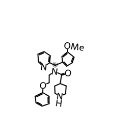 COc1cccc([C@@H](c2ccccn2)N(CCOc2ccccc2)C(=O)C2CCNCC2)c1